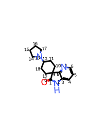 O=C1Nc2cccnc2C12CCC(N1CCCC1)CC2